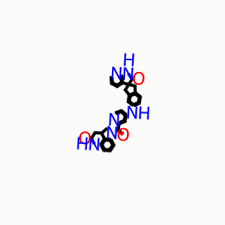 O=C1CC2CN(C(=O)c3cc(Nc4ccc5c(c4)CC4(C5)C(=O)Nc5ncccc54)ccn3)c3cccc(c32)N1